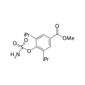 COC(=O)c1cc(C(C)C)c(OS(N)(=O)=O)c(C(C)C)c1